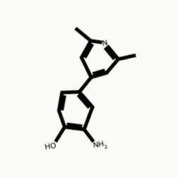 Cc1cc(-c2ccc(O)c(N)c2)cc(C)n1